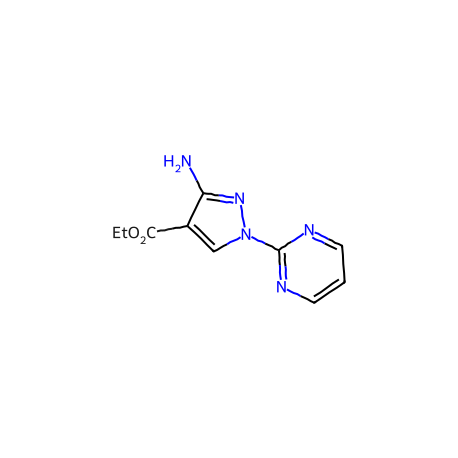 CCOC(=O)c1cn(-c2ncccn2)nc1N